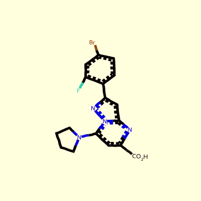 O=C(O)c1cc(N2CCCC2)n2nc(-c3ccc(Br)cc3F)cc2n1